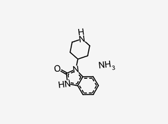 N.O=c1[nH]c2ccccc2n1C1CCNCC1